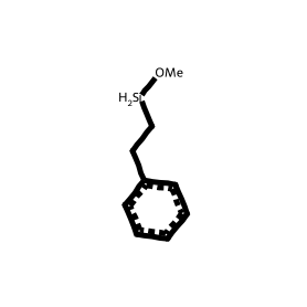 CO[SiH2]CCc1ccccc1